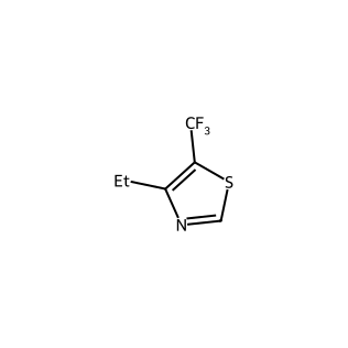 CCc1ncsc1C(F)(F)F